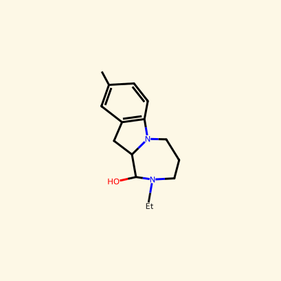 CCN1CCCN2c3ccc(C)cc3CC2C1O